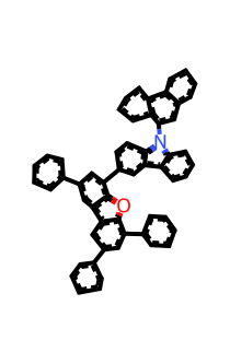 c1ccc(-c2cc(-c3ccccc3)c3oc4c(-c5ccc6c(c5)c5ccccc5n6-c5cc6ccccc6c6ccccc56)cc(-c5ccccc5)cc4c3c2)cc1